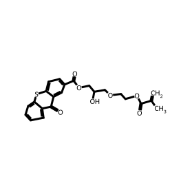 C=C(C)C(=O)OCCOCC(O)COC(=O)c1ccc2sc3ccccc3c(=O)c2c1